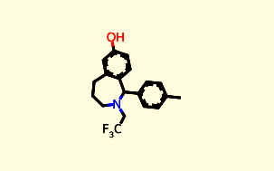 Cc1ccc(C2c3ccc(O)cc3CCCN2CC(F)(F)F)cc1